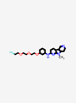 Cn1c2ccncc2c2ccc(Nc3cccc(OCCOCCOCC[18F])c3)nc21